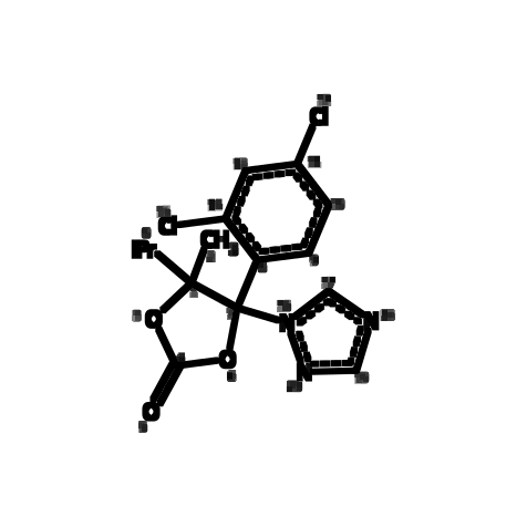 CC(C)C1(C)OC(=O)OC1(c1ccc(Cl)cc1Cl)n1cncn1